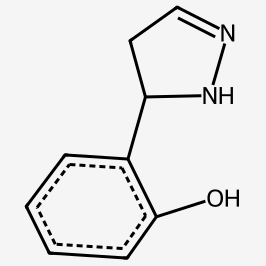 Oc1ccccc1C1CC=NN1